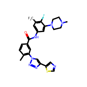 Cc1ccc(C(=O)Nc2cc(N3CCN(C)CC3)c(F)c(C(F)(F)F)c2)cc1-n1cc(-c2cncs2)nn1